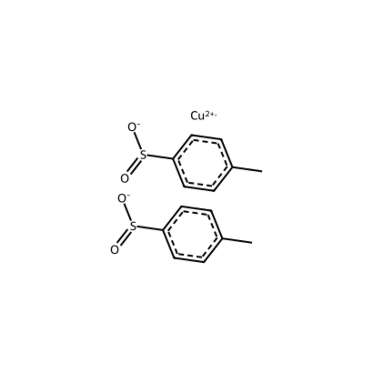 Cc1ccc(S(=O)[O-])cc1.Cc1ccc(S(=O)[O-])cc1.[Cu+2]